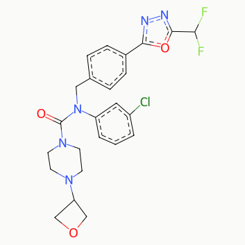 O=C(N1CCN(C2COC2)CC1)N(Cc1ccc(-c2nnc(C(F)F)o2)cc1)c1cccc(Cl)c1